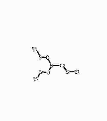 CCSOB(OSCC)OSCC